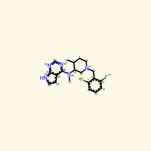 CC1CCN(Cc2c(F)cccc2F)CC1N(C)c1ncnc2[nH]ccc12